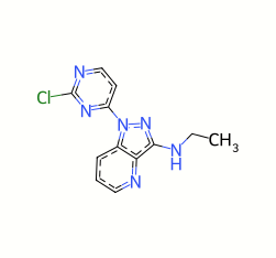 CCNc1nn(-c2ccnc(Cl)n2)c2cccnc12